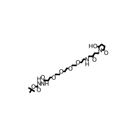 CC(C)(C)OC(=O)NNC(=O)CCOCCOCCOCCOCCNCC(=O)CCN1C(=O)CCC1O